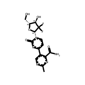 Cc1ncc(-c2ccn([C@@H]3O[C@H](CO)[C@@H](O)C3(F)F)c(=O)n2)c(C(N)=O)n1